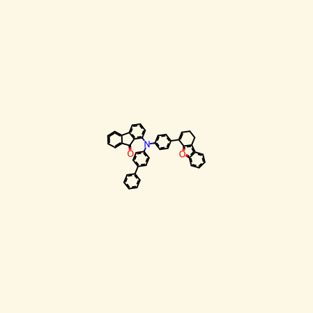 O=C1C2=CC=C=C=C2c2cccc(N(c3ccc(C4=CCCc5c4oc4ccccc54)cc3)c3ccc(-c4ccccc4)cc3)c21